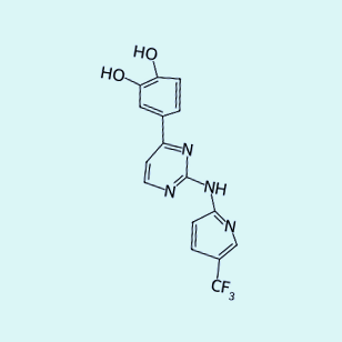 Oc1ccc(-c2ccnc(Nc3ccc(C(F)(F)F)cn3)n2)cc1O